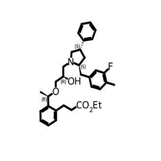 CCOC(=O)CCc1ccccc1[C@@H](C)OC[C@H](O)CN1C[C@H](c2ccccc2)C[C@H]1Cc1ccc(C)c(F)c1